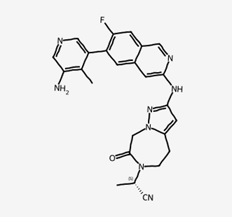 Cc1c(N)cncc1-c1cc2cc(Nc3cc4n(n3)CC(=O)N([C@@H](C)C#N)CC4)ncc2cc1F